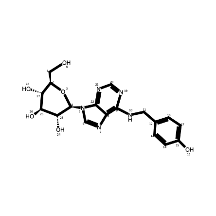 OC[C@H]1O[C@@H](n2cnc3c(NCc4ccc(O)cc4)ncnc32)[C@H](O)[C@@H](O)[C@@H]1O